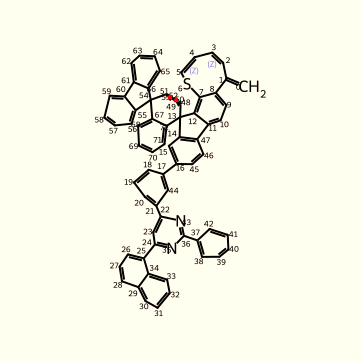 C=C1/C=C\C=C/Sc2c1ccc1c2C2(c3cc(-c4cccc(-c5cc(-c6cccc7ccccc67)nc(-c6ccccc6)n5)c4)ccc3-1)c1ccccc1C1(c3ccccc3-c3ccccc31)c1ccccc12